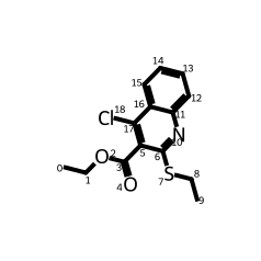 CCOC(=O)c1c(SCC)nc2ccccc2c1Cl